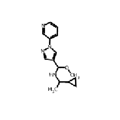 COC(NC(C)C1CC1)c1cnn(-c2cccnc2)c1